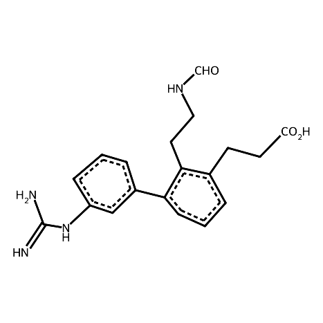 N=C(N)Nc1cccc(-c2cccc(CCC(=O)O)c2CCNC=O)c1